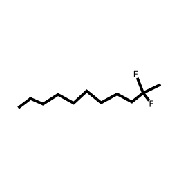 CCCCCCCCCC(C)(F)F